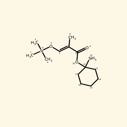 CC(=CO[Si](C)(C)C)C(=O)OC1([SiH3])CCCCC1